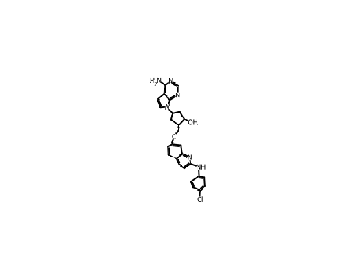 Nc1ncnc2c1ccn2C1CC(O)C(CCc2ccc3ccc(Nc4ccc(Cl)cc4)nc3c2)C1